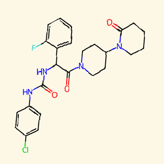 O=C(Nc1ccc(Cl)cc1)NC(C(=O)N1CCC(N2CCCCC2=O)CC1)c1ccccc1F